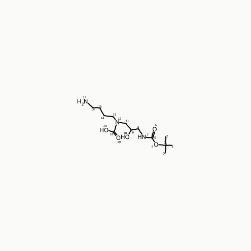 CC(C)(C)OC(=O)NCC(O)CN(CCCCN)C(=O)O